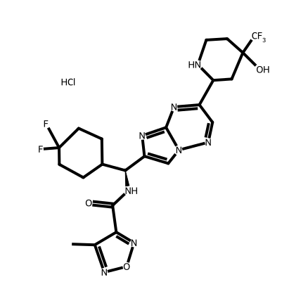 Cc1nonc1C(=O)N[C@H](c1cn2ncc(C3CC(O)(C(F)(F)F)CCN3)nc2n1)C1CCC(F)(F)CC1.Cl